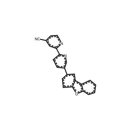 N#Cc1ccnc(-c2ccc(-c3ccc4oc5ccccc5c4c3)cn2)c1